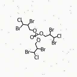 O=P(OCC(Br)C(Cl)Br)(OCC(Br)C(Cl)Br)OCC(Br)C(Cl)Br